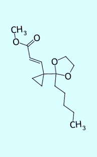 CCCCCC1(C2(C=CC(=O)OC)CC2)OCCO1